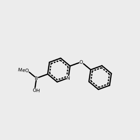 COB(O)c1ccc(Oc2ccccc2)nc1